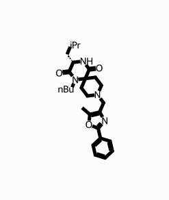 CCCCN1C(=O)[C@H](CC(C)C)NC(=O)C12CCN(Cc1nc(-c3ccccc3)oc1C)CC2